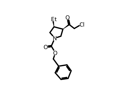 CC[C@@H]1CN(C(=O)OCc2ccccc2)C[C@@H]1C(=O)CCl